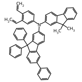 C=Cc1ccc(N(c2ccc3c(c2)C(C)(C)c2ccccc2-3)c2ccc3c(c2)C(c2ccccc2)(c2ccccc2)c2ccc(-c4ccccc4)cc2-3)cc1C=C